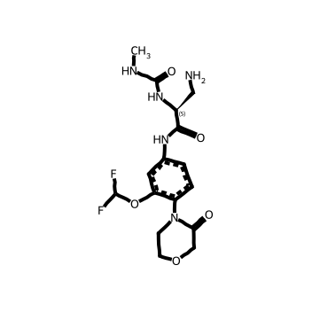 CNC(=O)N[C@@H](CN)C(=O)Nc1ccc(N2CCOCC2=O)c(OC(F)F)c1